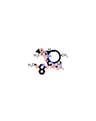 CCOc1cnc(O[C@@H]2C[C@H]3C(=O)N[C@]4(C(=O)NS(=O)(=O)C5(C)CC5)C[C@H]4C=CCC[C@@H](C)C[C@@H](CC)[C@H](NC(=O)O)C(=O)N3C2)c2ccccc12